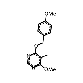 COc1ccc(COc2ncnc(OC)c2I)cc1